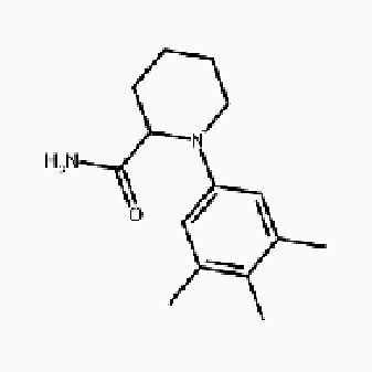 Cc1cc(N2CCCCC2C(N)=O)cc(C)c1C